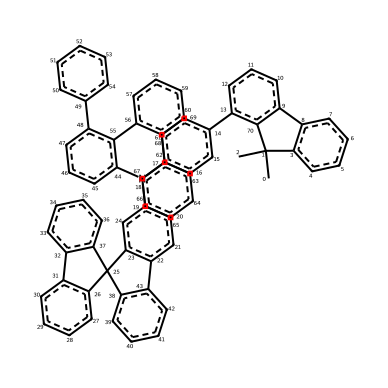 CC1(C)c2ccccc2-c2cccc(-c3ccc(N(c4ccc5c(c4)C4(c6ccccc6-c6ccccc64)c4ccccc4-5)c4cccc(-c5ccccc5)c4-c4ccccc4-c4ccccc4)cc3)c21